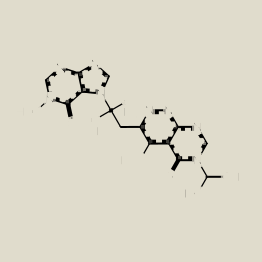 Cc1c(CC(C)(C)n2cnc3ncn(C)c(=O)c32)nnc2ncn(C(C)C)c(=O)c12